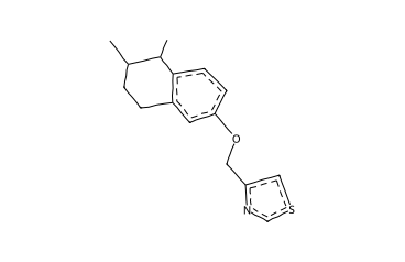 CC1CCc2cc(OCc3cscn3)ccc2C1C